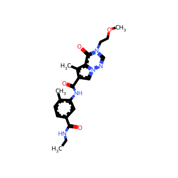 CCNC(=O)c1ccc(C)c(NC(=O)c2cn3ncn(CCOC)c(=O)c3c2C)c1